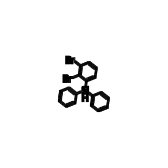 Brc1cccc([SiH](c2ccccc2)c2ccccc2)c1Br